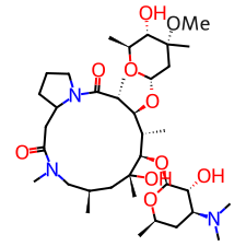 CO[C@]1(C)C[C@H](O[C@H]2[C@H](C)[C@@H](O[C@@H]3O[C@H](C)C[C@H](N(C)C)[C@H]3O)[C@](C)(O)C[C@@H](C)CN(C)C(=O)CC3CCCN3C(=O)[C@@H]2C)O[C@@H](C)[C@@H]1O